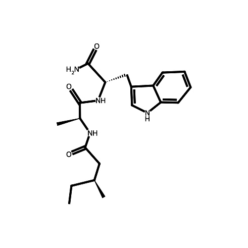 CC[C@H](C)CC(=O)N[C@@H](C)C(=O)N[C@@H](Cc1c[nH]c2ccccc12)C(N)=O